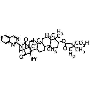 CC(C)C1=C2C3CCC4[C@@]5(C)CC[C@H](OC(=O)CC(C)(C)C(=O)O)C(C)(C)C5CC[C@@]4(C)[C@]3(C)CC[C@@]2(C(=O)Nc2ncc3ccccc3n2)CC1=O